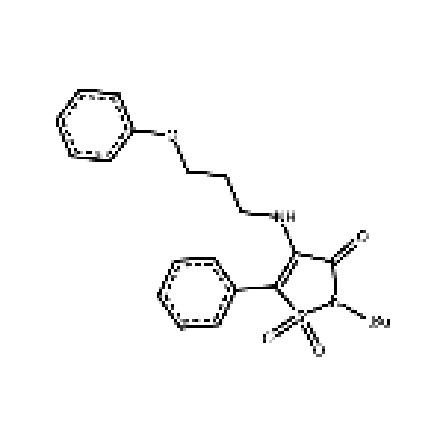 CC(C)(C)N1C(=O)C(NCCCOc2ccccc2)=C(c2ccccc2)S1(=O)=O